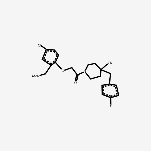 CNCc1cc(Cl)ccc1OCC(=O)N1CCC(C#N)(Cc2ccc(F)cc2)CC1